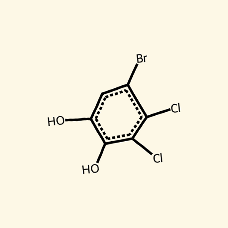 Oc1cc(Br)c(Cl)c(Cl)c1O